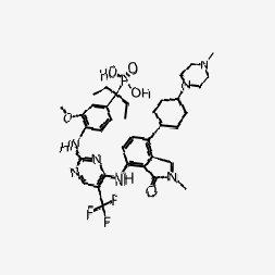 CCC(CC)(c1ccc(Nc2ncc(C(F)(F)F)c(Nc3ccc([C@H]4CC[C@@H](N5CCN(C)CC5)CC4)c4c3C(=O)N(C)C4)n2)c(OC)c1)P(=O)(O)O